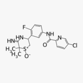 CC1(C)C(=N)NC(c2cc(NC(=O)c3ccc(Cl)cn3)ccc2F)C[S+]1[O-]